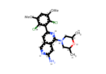 COc1cc(OC)c(Cl)c(-c2cc3cnc(N)cc3c(N3CC(C)OC(C)C3)n2)c1Cl